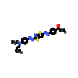 CCCN(C)c1ccc(N=Nc2nc3sc(N=Nc4ccc(C(C)=O)cc4)cc3s2)cc1